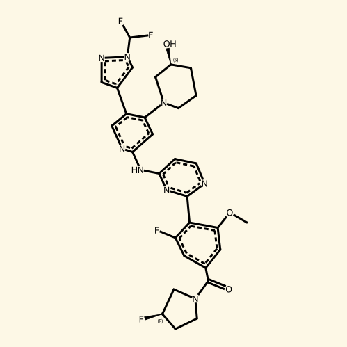 COc1cc(C(=O)N2CC[C@@H](F)C2)cc(F)c1-c1nccc(Nc2cc(N3CCC[C@H](O)C3)c(-c3cnn(C(F)F)c3)cn2)n1